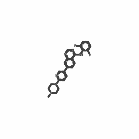 CN1CCN(c2ccc(-c3ccc4c(Nc5c(F)cccc5F)ncnc4c3)cn2)CC1